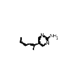 C/C=C\C=C(/C)c1cnc(N)nc1